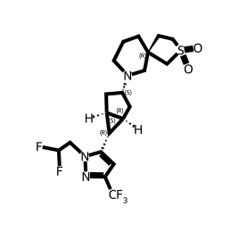 O=S1(=O)CC[C@@]2(CCCN([C@@H]3C[C@@H]4[C@H](C3)[C@H]4c3cc(C(F)(F)F)nn3CC(F)F)C2)C1